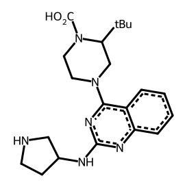 CC(C)(C)C1CN(c2nc(NC3CCNC3)nc3ccccc23)CCN1C(=O)O